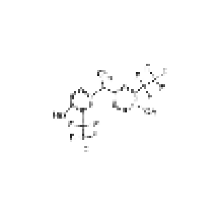 CC(c1ccc(O)c(C(F)(F)C(F)(F)F)c1)c1ccc(O)c(C(F)(F)C(F)(F)F)c1